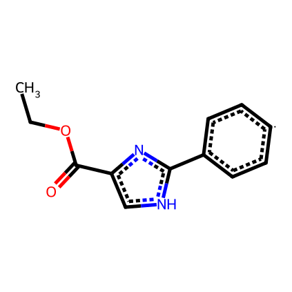 CCOC(=O)c1c[nH]c(-c2cc[c]cc2)n1